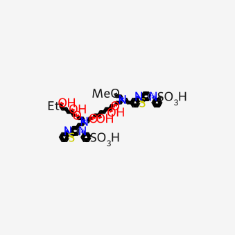 CCC(O)CCCC(O)COCCN(CCOCC(O)CCCC(O)COCCN(CCOC)CCc1ccc2sc3c/c(=N\c4ccccc4S(=O)(=O)O)ccc-3nc2c1)CCc1cc2nc3ccccc3sc-2c/c1=N\c1cccc(S(=O)(=O)O)c1